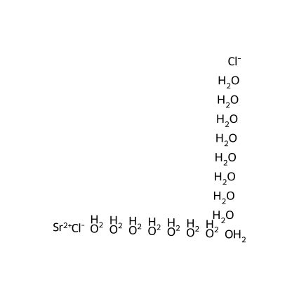 O.O.O.O.O.O.O.O.O.O.O.O.O.O.O.O.[Cl-].[Cl-].[Sr+2]